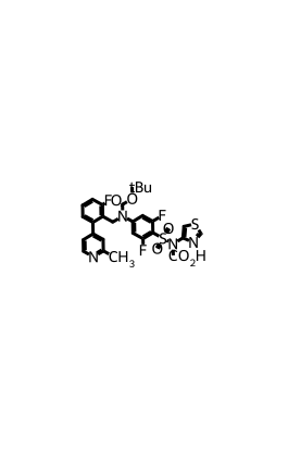 Cc1cc(-c2cccc(F)c2CN(C(=O)OC(C)(C)C)c2cc(F)c(S(=O)(=O)N(C(=O)O)c3cscn3)c(F)c2)ccn1